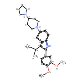 COc1ccc(-c2[nH]c3ccc(N4CCC(N5CCCC5)CC4)cc3c2C(C)C)cc1OC